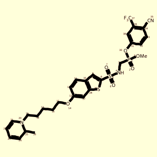 COP(=O)(CNS(=O)(=O)c1cc2ccc(OCCCCCN3C=CC=CC3C)cc2s1)Oc1ccc(C#N)c(C(F)(F)F)c1